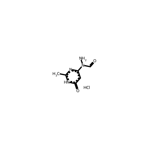 Cc1nc(N(N)C=O)cc(=O)[nH]1.Cl